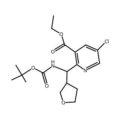 CCOC(=O)c1cc(Cl)cnc1C(NC(=O)OC(C)(C)C)C1CCOC1